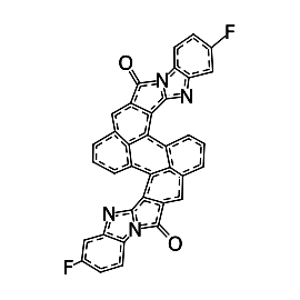 O=c1c2cc3cccc4c3c(c3cccc5cc6c(=O)n7c8ccc(F)cc8nc7c6c4c53)c2c2nc3cc(F)ccc3n12